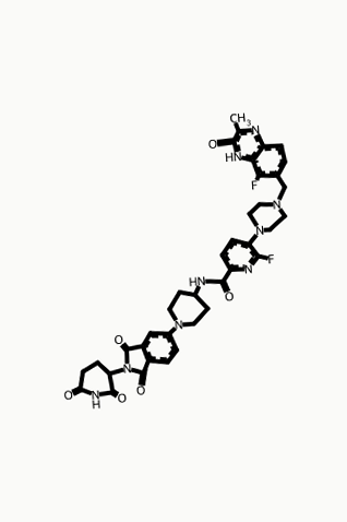 Cc1nc2ccc(CN3CCN(c4ccc(C(=O)NC5CCN(c6ccc7c(c6)C(=O)N(C6CCC(=O)NC6=O)C7=O)CC5)nc4F)CC3)c(F)c2[nH]c1=O